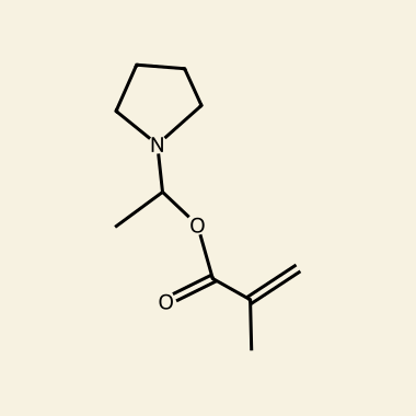 C=C(C)C(=O)OC(C)N1CCCC1